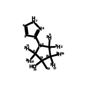 [2H]C1([2H])N(c2cc[nH]n2)C([2H])([2H])C(C)(O)C1([2H])[2H]